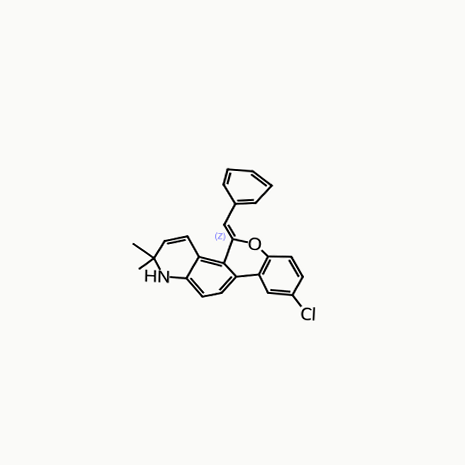 CC1(C)C=Cc2c(ccc3c2/C(=C/c2ccccc2)Oc2ccc(Cl)cc2-3)N1